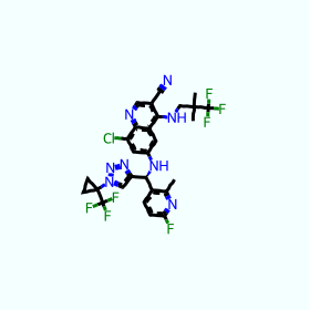 Cc1nc(F)ccc1[C@H](Nc1cc(Cl)c2ncc(C#N)c(NCC(C)(C)C(F)(F)F)c2c1)c1cn(C2(C(F)(F)F)CC2)nn1